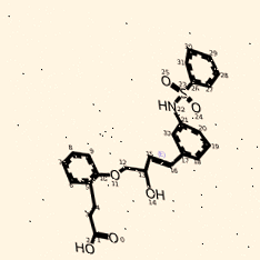 O=C(O)CCc1ccccc1OCC(O)/C=C/c1cccc(NS(=O)(=O)c2ccccc2)c1